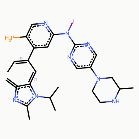 C=c1nc(C)n(C(C)C)/c1=C/C(=C\C)c1cc(N(I)c2ncc(N3CCNC(C)C3)cn2)ncc1P